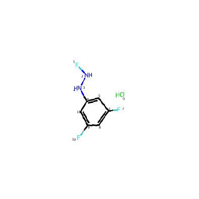 Cl.FNNc1cc(F)cc(F)c1